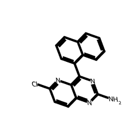 Nc1nc(-c2cccc3ccccc23)c2nc(Cl)ccc2n1